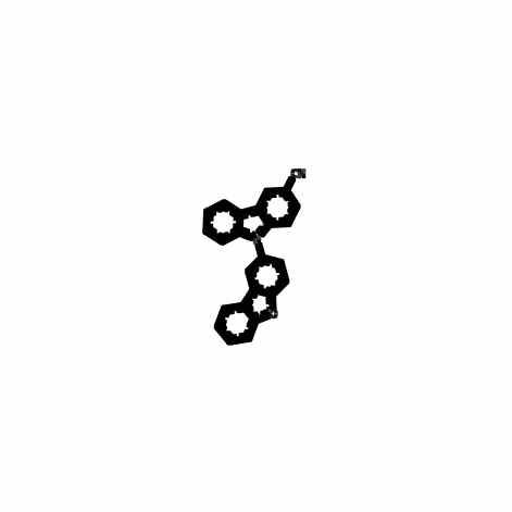 N#Cc1ccc2c(c1)c1ccccc1n2-c1ccc2oc3ccccc3c2c1